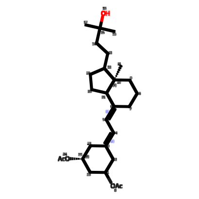 CC(=O)OC1C/C(=C/C=C2\CCC[C@]3(C)C(CCC(C)(C)O)CCC23)C[C@@H](OC(C)=O)C1